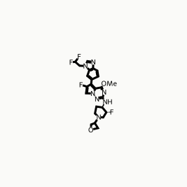 COc1nc(N[C@@H]2CCN(C3COC3)C[C@H]2F)nn2cc(F)c(-c3ccc4ncn(CC(F)F)c4c3)c12